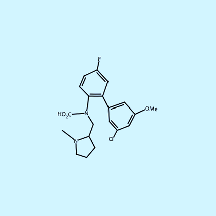 COc1cc(Cl)cc(-c2cc(F)ccc2N(CC2CCCN2C)C(=O)O)c1